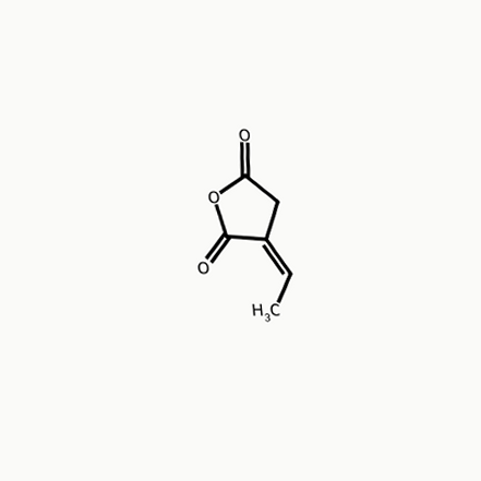 C/C=C1/CC(=O)OC1=O